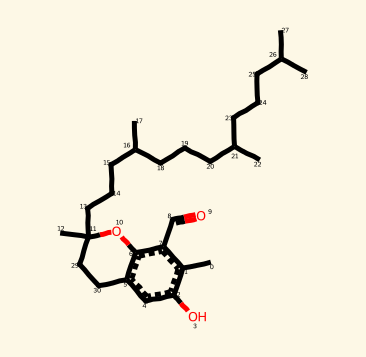 Cc1c(O)cc2c(c1C=O)OC(C)(CCCC(C)CCCC(C)CCCC(C)C)CC2